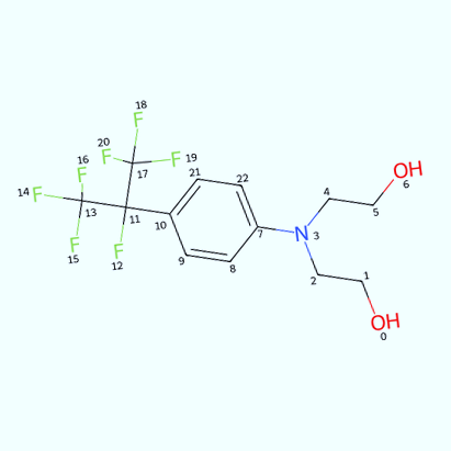 OCCN(CCO)c1ccc(C(F)(C(F)(F)F)C(F)(F)F)cc1